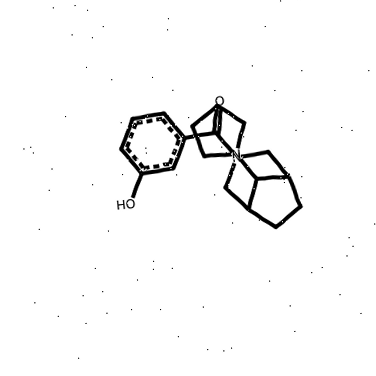 O=C(c1cccc(O)c1)N1CC2CCC(C1)C2N1CCCC1